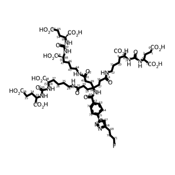 O=C(O)CCC(NC(=O)NC(CCCCNC(=O)CCC(CCC(=O)NCCCC[C@H](NC(=O)NC(CCC(=O)O)C(=O)O)C(=O)O)(CCC(=O)NCCCC[C@H](NC(=O)N[C@@H](CCC(=O)O)C(=O)O)C(=O)O)NC(=O)c1ccc(-n2cc(CCCF)nn2)cc1)C(=O)O)C(=O)O